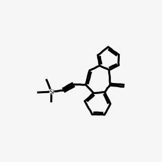 C=C1c2ccccc2C=C(C#C[Si](C)(C)C)c2ccccc21